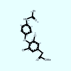 COC(=O)Cc1cc(Cl)c(Oc2ccc(NC(=O)C(C)C)cc2)c(Cl)c1